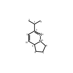 CC(C)C1=NN2CCCC2C=C1